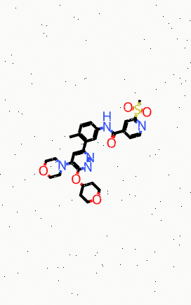 Cc1ccc(NC(=O)c2ccnc(S(C)(=O)=O)c2)cc1-c1cc(N2CCOCC2)c(OC2CCOCC2)nn1